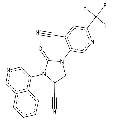 N#Cc1cc(C(F)(F)F)ncc1N1CC(C#N)N(c2cncc3ccccc23)C1=O